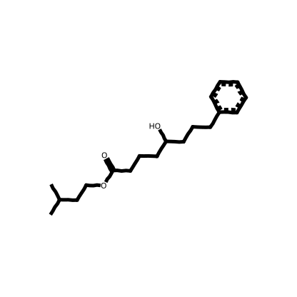 CC(C)CCOC(=O)CCCC(O)CCCc1ccccc1